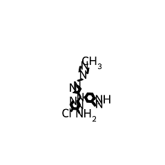 CN1CCN(CCn2cc(N(c3ccc4[nH]ncc4c3)c3ncc(Cl)c(N)n3)cn2)CC1